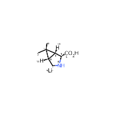 CC1(C)[C@@H]2[C@@H](C(=O)O)NC[C@@H]21.[Li]